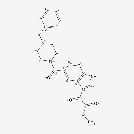 COC(=O)C(=O)c1c[nH]c2ccc(C(=O)N3CCC(Cc4ccccc4)CC3)cc12